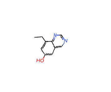 CCc1cc(O)cc2cncnc12